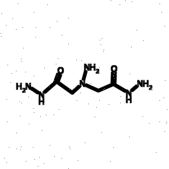 NNC(=O)CN(N)CC(=O)NN